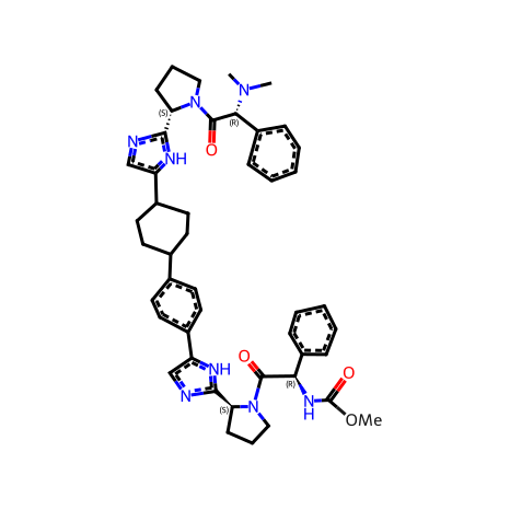 COC(=O)N[C@@H](C(=O)N1CCC[C@H]1c1ncc(-c2ccc(C3CCC(c4cnc([C@@H]5CCCN5C(=O)[C@@H](c5ccccc5)N(C)C)[nH]4)CC3)cc2)[nH]1)c1ccccc1